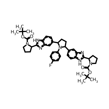 CC(C)(C)OC(=O)N1CCCC1c1nc2cc(C3CCC(c4ccc5[nH]c(C6CCCN6C(=O)OC(C)(C)C)nc5c4)N3c3ccc(F)cc3)ccc2[nH]1